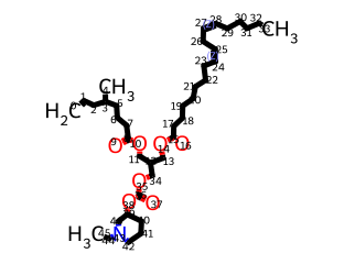 C=CCC(C)CCCC(=O)OCC(COC(=O)CCCCCCC/C=C\C/C=C\CCCCC)COC(=O)OC1CCCN(CC)C1